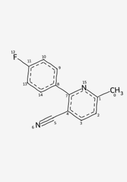 Cc1ccc(C#N)c(-c2ccc(F)cc2)n1